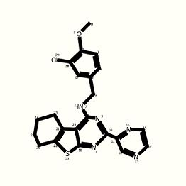 COc1ccc(CNc2nc(-c3cnccn3)nc3sc4c(c23)CCCC4)cc1Cl